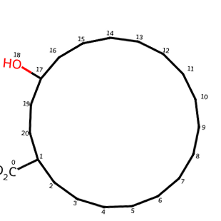 O=C(O)C1CCCCCCCCCCCCCCCC(O)CC1